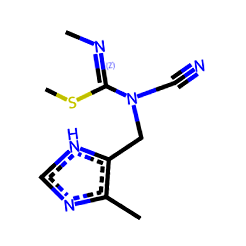 C/N=C(\SC)N(C#N)Cc1[nH]cnc1C